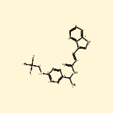 CC(NC(=O)C=Cc1c[nH]c2ccccc12)c1ccc(OCC(F)(F)F)nc1